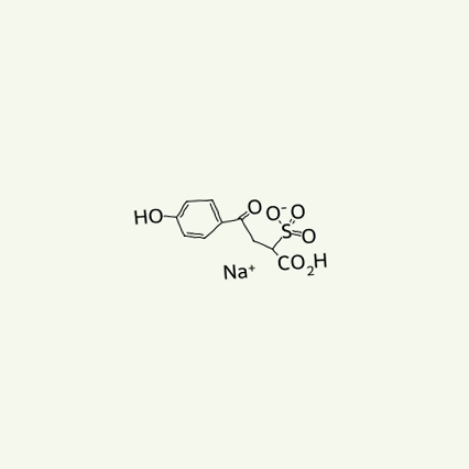 O=C(CC(C(=O)O)S(=O)(=O)[O-])c1ccc(O)cc1.[Na+]